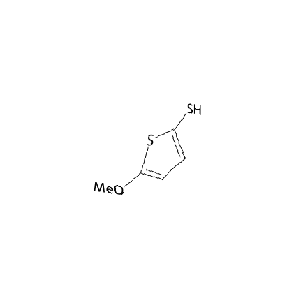 COc1ccc(S)s1